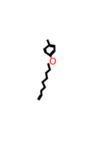 C=CCCCCCCCOc1ccc(C)cc1